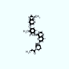 C=CC(=O)N1CCC2CC1CN2c1ccc2ncnc(Nc3ccc(Oc4cnc5c(c4)ncn5C)c(C)c3F)c2n1